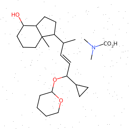 CC(C=CC(OC1CCCCO1)C1CC1)C1CCC2C(O)CCCC12C.CN(C)C(=O)O